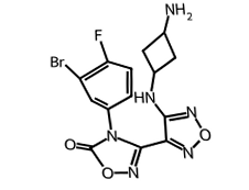 NC1CC(Nc2nonc2-c2noc(=O)n2-c2ccc(F)c(Br)c2)C1